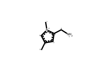 Cc1cc(CN)n(C)c1